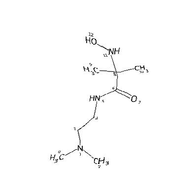 CN(C)CCNC(=O)C(C)(C)NO